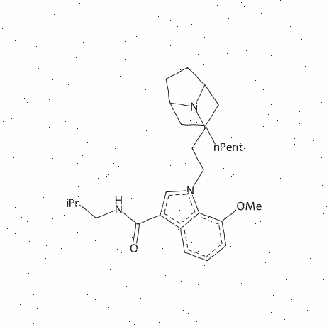 CCCCCC1CC2CCC(C1)N2CCCn1cc(C(=O)NCC(C)C)c2cccc(OC)c21